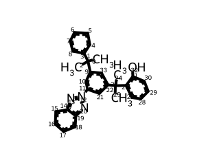 CC(C)(c1ccccc1)c1cc(-n2nc3ccccc3n2)cc(C(C)(C)c2ccccc2O)c1